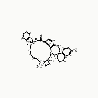 O=C1NS(=O)(=O)[C@H](Cc2ccccn2)CC/C=C/[C@H](O)[C@@H]2CC[C@H]2CN2C[C@@]3(CCCc4cc(Cl)ccc43)COc3ccc1cc32